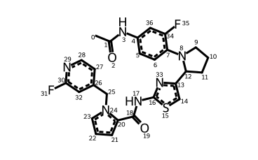 CC(=O)Nc1ccc(N2CCCC2c2csc(NC(=O)c3cccn3Cc3ccnc(F)c3)n2)c(F)c1